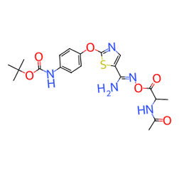 CC(=O)NC(C)C(=O)O/N=C(\N)c1cnc(Oc2ccc(NC(=O)OC(C)(C)C)cc2)s1